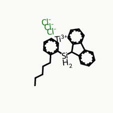 CCCCCc1ccccc1[SiH2]C1c2ccccc2-c2ccc[c]([Ti+3])c21.[Cl-].[Cl-].[Cl-]